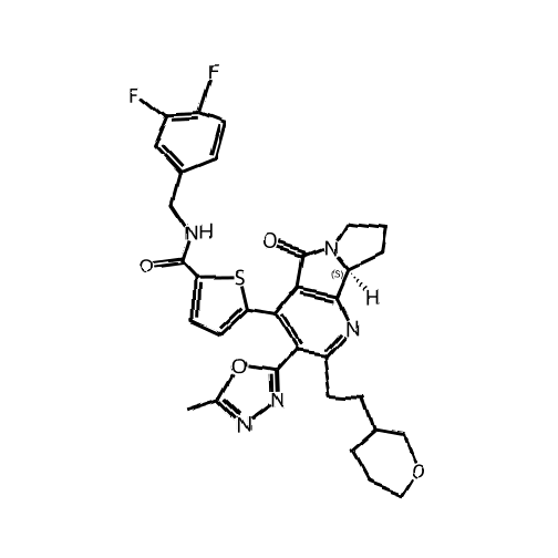 Cc1nnc(-c2c(CCC3CCCOC3)nc3c(c2-c2ccc(C(=O)NCc4ccc(F)c(F)c4)s2)C(=O)N2CCC[C@@H]32)o1